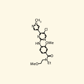 CCN(CCOC)C(=O)c1ccc(Nc2ncc(Cl)c(-c3cnn(C)c3)n2)c(OC)c1